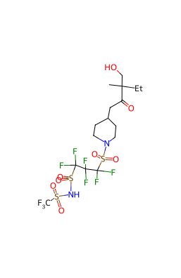 CCC(C)(CO)C(=O)CC1CCN(S(=O)(=O)C(F)(F)C(F)(F)C(F)(F)S(=O)(=O)NS(=O)(=O)C(F)(F)F)CC1